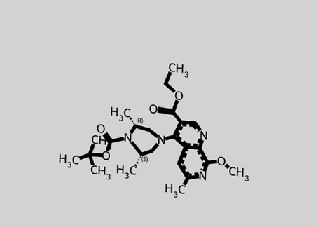 CCOC(=O)c1cnc2c(OC)nc(C)cc2c1N1C[C@@H](C)N(C(=O)OC(C)(C)C)[C@@H](C)C1